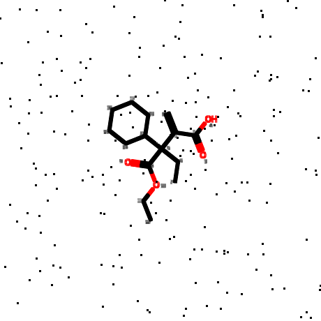 C=C(C(=O)O)C(CC)(C(=O)OCC)C1CCCCC1